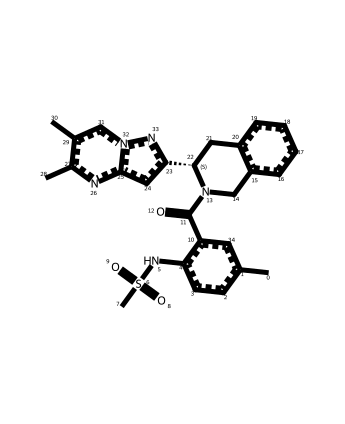 Cc1ccc(NS(C)(=O)=O)c(C(=O)N2Cc3ccccc3C[C@H]2c2cc3nc(C)c(C)cn3n2)c1